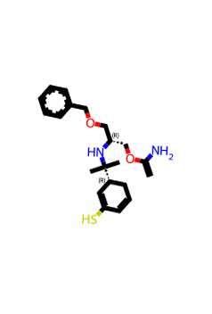 C=C(N)OC[C@@H](COCc1ccccc1)NC(C)(C)[C@H]1C=C(S)C=CC1